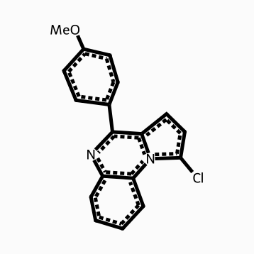 COc1ccc(-c2nc3ccccc3n3c(Cl)ccc23)cc1